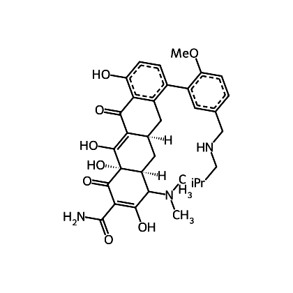 COc1ccc(CNCC(C)C)cc1-c1ccc(O)c2c1C[C@H]1C[C@H]3C(N(C)C)C(O)=C(C(N)=O)C(=O)[C@@]3(O)C(O)=C1C2=O